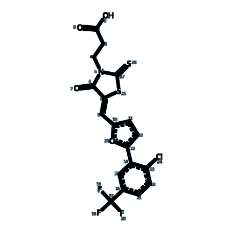 O=C(O)CCN1C(=O)C(=Cc2ccc(-c3cc(C(F)(F)F)ccc3Cl)o2)SC1=S